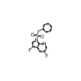 O=S(=O)(Cc1ccccc1)n1cc(I)c2cc(F)cnc21